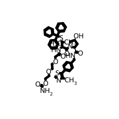 Cc1ncsc1-c1ccc(CNC(=O)[C@@H]2C[C@@H](O)CN2C(=O)C(NC(=O)COCCOCCOC(N)=O)C(C)(C)SC(c2ccccc2)(c2ccccc2)c2ccccc2)cc1